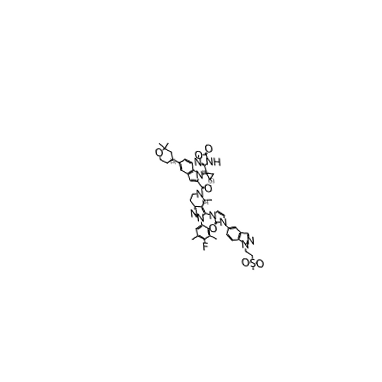 Cc1cc(-n2nc3c(c2-n2ccn(-c4ccc5c(cnn5CCS(C)(=O)=O)c4)c2=O)[C@H](C)N(C(=O)c2cc4cc([C@H]5CCOC(C)(C)C5)ccc4n2[C@@]2(c4noc(=O)[nH]4)C[C@@H]2C)CC3)cc(C)c1F